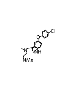 CNCCN(C)Cc1n[nH]c2ccc(Oc3ccc(Cl)cc3)cc12